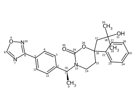 C[C@@H](c1ccc(-c2ncon2)cc1)N1CCC(CC(C)(C)O)(c2ccccc2)OC1=O